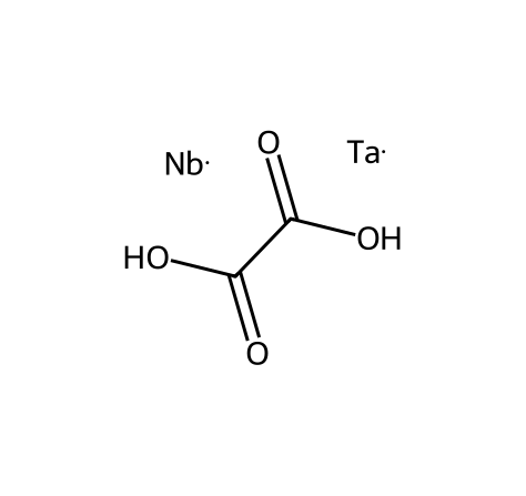 O=C(O)C(=O)O.[Nb].[Ta]